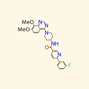 COc1ccc2c(N3CCC(NC(=O)c4ccc(-c5cccc(F)c5)nc4)CC3)ncnc2c1OC